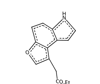 CCOC(=O)Cc1coc2ccc3[nH]ccc3c12